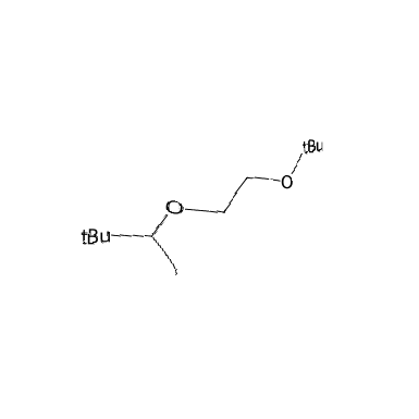 CC(OCCOC(C)(C)C)C(C)(C)C